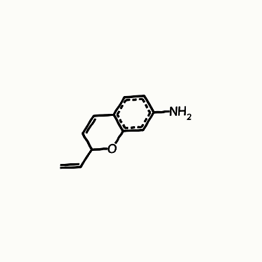 C=CC1C=Cc2ccc(N)cc2O1